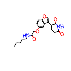 CCCCCNC(=O)COc1ccc2occ(C3CCC(=O)NC3=O)c2c1